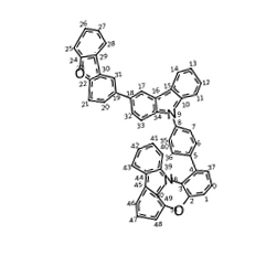 c1cc2c(c(-c3ccc(-n4c5ccccc5c5cc(-c6ccc7oc8ccccc8c7c6)ccc54)cc3)c1)-n1c3ccccc3c3cccc(c31)O2